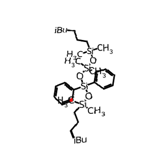 CCC(C)CCC[Si](C)(C)O[Si](C)(C)O[Si](O[Si](C)(C)CCCC(C)CC)(c1ccccc1)c1ccccc1